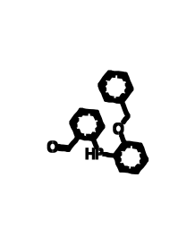 O=Cc1ccccc1Pc1ccccc1OCc1ccccc1